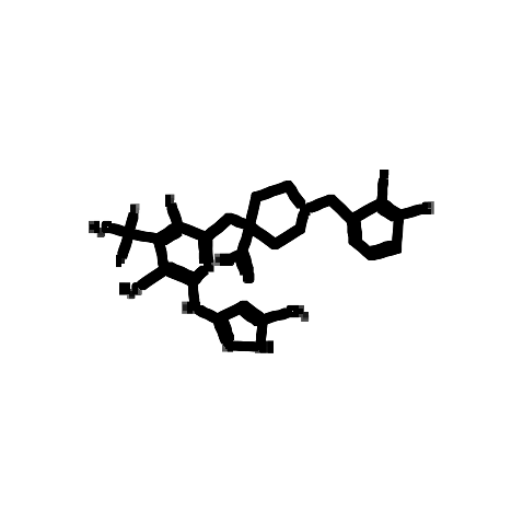 Cc1cc(Nc2nc(CC3(C(=O)O)CCN(Cc4cccc(Cl)c4F)CC3)c(F)c(C(C)(F)F)c2C)n[nH]1